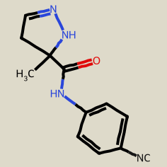 [C-]#[N+]c1ccc(NC(=O)C2(C)CC=NN2)cc1